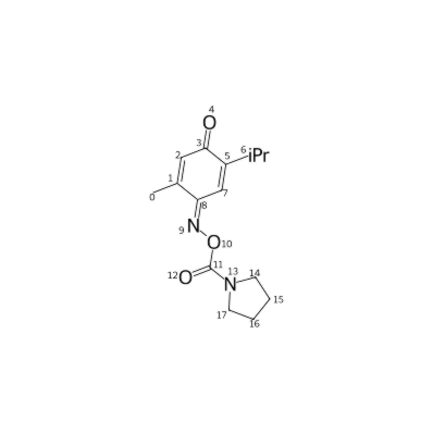 CC1=CC(=O)C(C(C)C)=C/C1=N\OC(=O)N1CCCC1